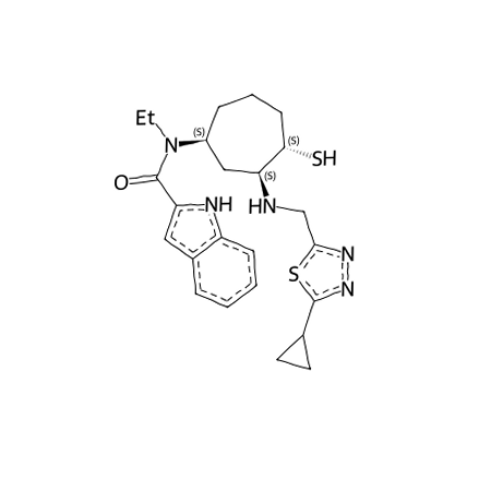 CCN(C(=O)c1cc2ccccc2[nH]1)[C@H]1CCC[C@H](S)[C@@H](NCc2nnc(C3CC3)s2)C1